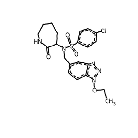 CCOn1nnc2cc(CN([C@@H]3CCCCNC3=O)S(=O)(=O)c3ccc(Cl)cc3)ccc21